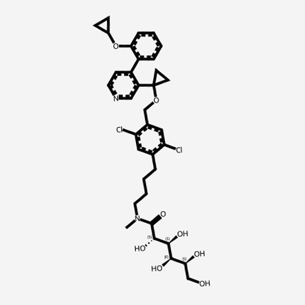 CN(CCCCc1cc(Cl)c(COC2(c3cnccc3-c3ccccc3OC3CC3)CC2)cc1Cl)C(=O)[C@@H](O)[C@@H](O)[C@H](O)[C@@H](O)CO